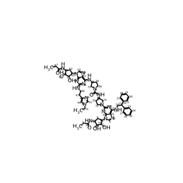 CCC(=O)N[C@H]1C[C@@H](n2cnc3c(NCC(c4ccccc4)c4ccccc4)nc(N4CC[C@@H](NC(=O)N5CC[C@@H](Nc6nc(NCCc7cn(CC)cn7)nc7c6ncn7[C@@H]6C[C@H](NC(=O)CC)[C@@H](O)[C@H]6O)C5)C4)nc32)[C@H](O)[C@@H]1O